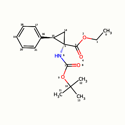 CCOC(=O)[C@]1(NC(=O)OC(C)(C)C)C[C@@H]1c1ccccc1